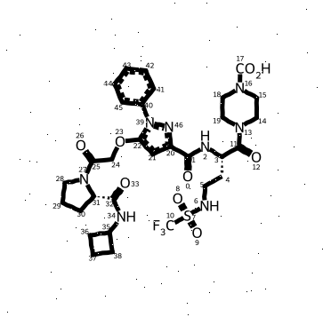 O=C(N[C@@H](CCNS(=O)(=O)C(F)(F)F)C(=O)N1CCN(C(=O)O)CC1)c1cc(OCC(=O)N2CCC[C@H]2C(=O)NC2CCC2)n(-c2ccccc2)n1